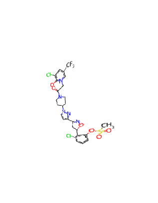 CS(=O)(=O)Oc1cccc(Cl)c1C1CC(c2ccn(C3CCN(C(=O)Cn4cc(C(F)(F)F)cc(Cl)c4=O)CC3)n2)=NO1